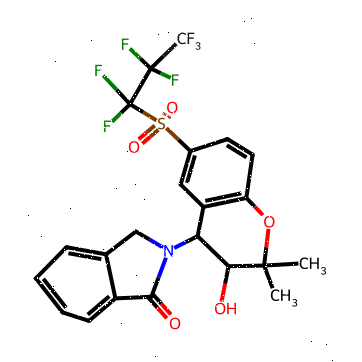 CC1(C)Oc2ccc(S(=O)(=O)C(F)(F)C(F)(F)C(F)(F)F)cc2C(N2Cc3ccccc3C2=O)C1O